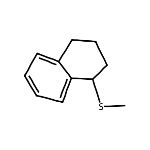 CSC1CCCc2ccccc21